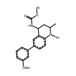 COc1cccc(-c2ccc3c(c2)C(NC(=O)OC(C)C)CC(C)N3C(C)=O)c1